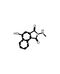 CNN1C(=O)c2cc(O)c3ccccc3c2C1=O